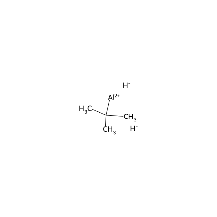 C[C](C)(C)[Al+2].[H-].[H-]